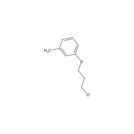 Cc1[c]ccc(OCCCCl)c1